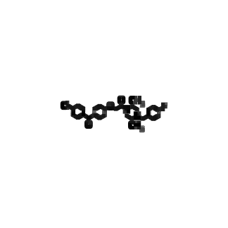 CC1CN(C(=O)COc2ccc(C(=O)c3ccc(Cl)cc3)cc2)C(C)CN1Cc1ccc(F)cc1